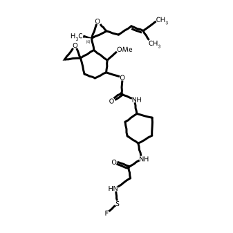 COC1C(OC(=O)NC2CCC(NC(=O)CNSF)CC2)CCC2(CO2)C1[C@]1(C)OC1CC=C(C)C